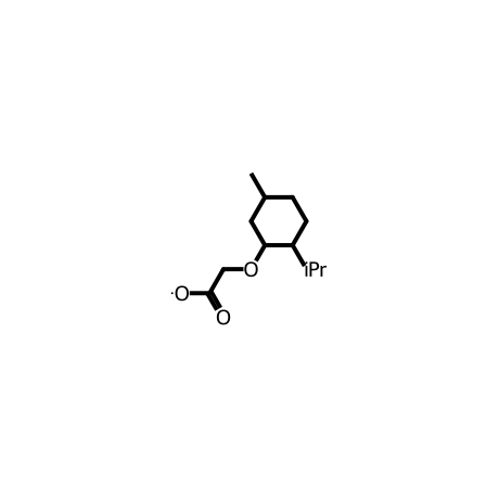 CC1CCC(C(C)C)C(OCC([O])=O)C1